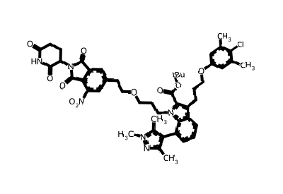 Cc1cc(OCCCc2c(C(=O)OC(C)(C)C)n(CCCOCCc3cc4c(c([N+](=O)[O-])c3)C(=O)N(C3CCC(=O)NC3=O)C4=O)c3c(-c4c(C)nn(C)c4C)cccc23)cc(C)c1Cl